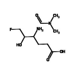 CN(C)C=O.NC(CCC(=O)O)C(O)CF